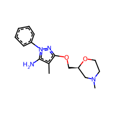 Cc1c(OC[C@@H]2CN(C)CCO2)nn(-c2ccccc2)c1N